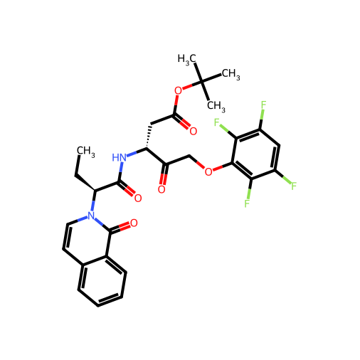 CC[C@@H](C(=O)N[C@H](CC(=O)OC(C)(C)C)C(=O)COc1c(F)c(F)cc(F)c1F)n1ccc2ccccc2c1=O